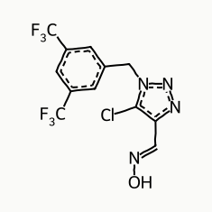 ON=Cc1nnn(Cc2cc(C(F)(F)F)cc(C(F)(F)F)c2)c1Cl